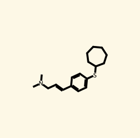 CN(C)CC=Cc1ccc(SC2CCCCCC2)cc1